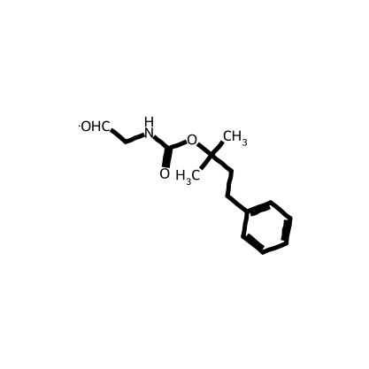 CC(C)(CCc1ccccc1)OC(=O)NC[C]=O